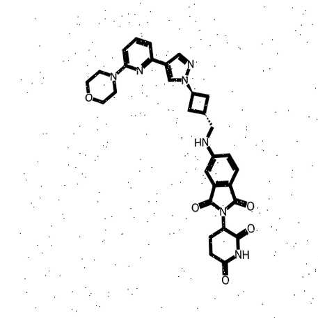 O=C1CCC(N2C(=O)c3ccc(NC[C@H]4C[C@H](n5cc(-c6cccc(N7CCOCC7)n6)cn5)C4)cc3C2=O)C(=O)N1